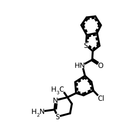 CC1(c2cc(Cl)cc(NC(=O)c3cc4ccccc4s3)c2)CCSC(N)=N1